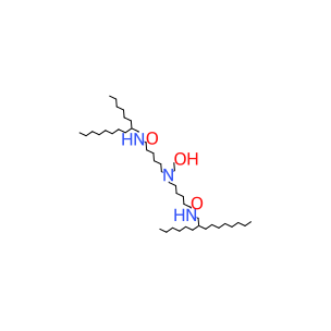 CCCCCCCCC(CCCCCC)CNC(=O)CCCCCN(CCO)CCCCCC(=O)NCC(CCCCCC)CCCCCCCC